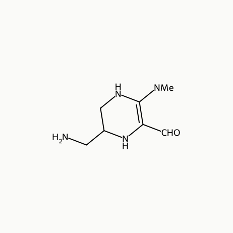 CNC1=C(C=O)NC(CN)CN1